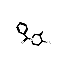 NC1CCN(C(=O)c2ccccc2)CC1=O